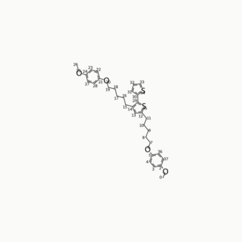 COc1ccc(OCCCCCc2cc(CCCCCOc3ccc(OC)cc3)c(-c3cccs3)s2)cc1